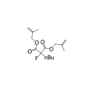 C=C(C)COC(=O)C(F)(CCCC)C(=O)OCC(=C)C